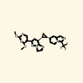 COc1ncc(-c2cc([C@H]3C[C@@H]3c3ccn4c(C(F)(F)F)ncc4c3)c3nccn3n2)c(OC)n1